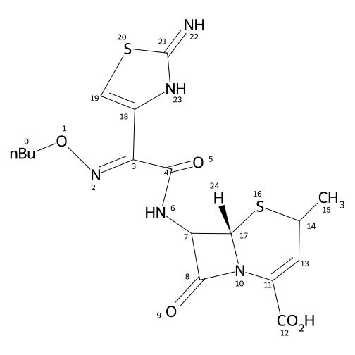 CCCCON=C(C(=O)NC1C(=O)N2C(C(=O)O)=CC(C)S[C@@H]12)c1csc(=N)[nH]1